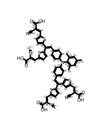 [C-]#[N+]/C(=C\c1ccc(/C(=C\c2ccc(N(c3ccc(/C=C(\c4csc(/C=C(\C#N)C(=O)O)c4)c4ccc(/C=C(\[N+]#[C-])C(=O)O)s4)cc3)c3c(C)cc(C)cc3C)cc2)c2ccc(/C=C(\C#N)C(=O)O)s2)s1)C(=O)O